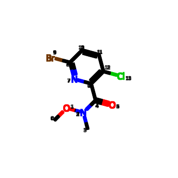 CON(C)C(=O)c1nc(Br)ccc1Cl